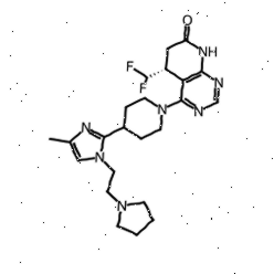 Cc1cn(CCN2CCCC2)c(C2CCN(c3ncnc4c3[C@H](C(F)F)CC(=O)N4)CC2)n1